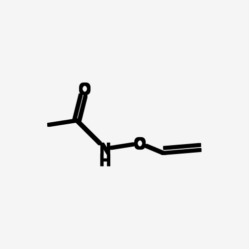 C=CONC(C)=O